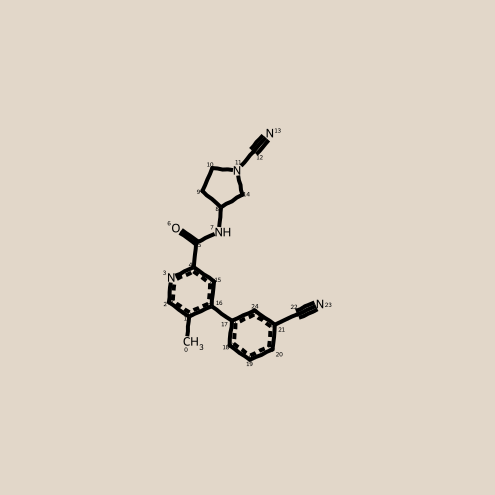 Cc1cnc(C(=O)NC2CCN(C#N)C2)cc1-c1cccc(C#N)c1